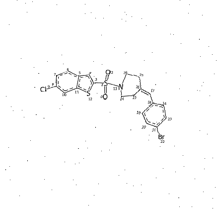 O=S(=O)(c1cc2ccc(Cl)cc2s1)N1CCC(=Cc2ccc(Br)cc2)CC1